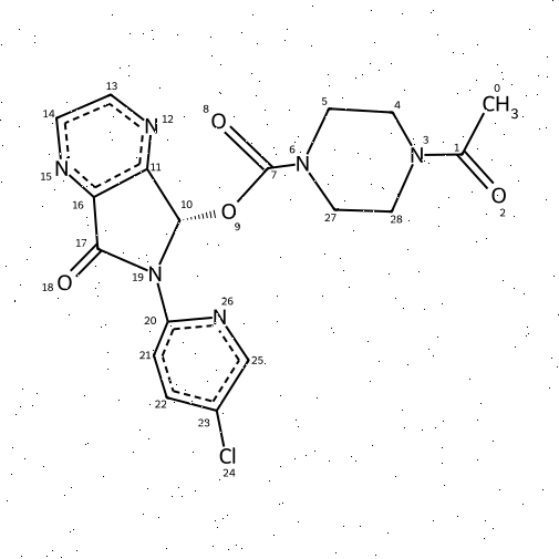 CC(=O)N1CCN(C(=O)O[C@H]2c3nccnc3C(=O)N2c2ccc(Cl)cn2)CC1